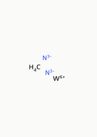 C.[N-3].[N-3].[W+6]